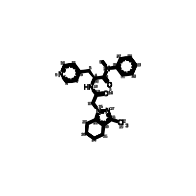 CN(C(=O)[C@H](Cc1ccncc1)NC(=O)Cn1nc(C(F)(F)F)c2c1CCCC2)c1ccccc1